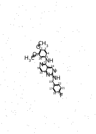 COc1ccc(Nc2nccc3nc(NCc4ccc(F)cc4)ncc23)cc1OC